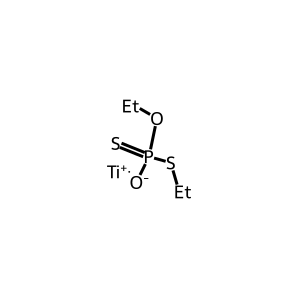 CCOP([O-])(=S)SCC.[Ti+]